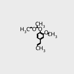 C/C=C/c1ccc(OC(C)OCC)c(OC)c1